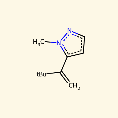 C=C(c1ccnn1C)C(C)(C)C